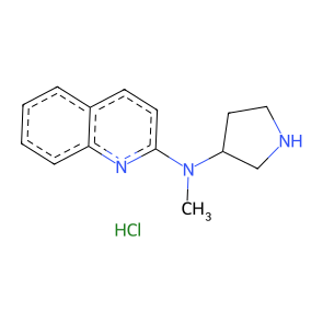 CN(c1ccc2ccccc2n1)C1CCNC1.Cl